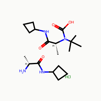 C[C@@H](N)C(=O)NC1CCC1.C[C@H](C(=O)NC1CCC1)N(C(=O)O)C(C)(C)C.Cl